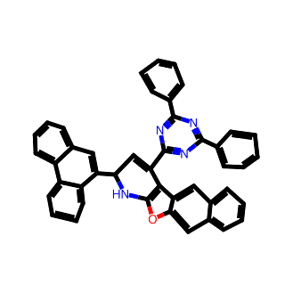 C1=C(c2nc(-c3ccccc3)nc(-c3ccccc3)n2)c2c(oc3cc4ccccc4cc23)NC1c1cc2ccccc2c2ccccc12